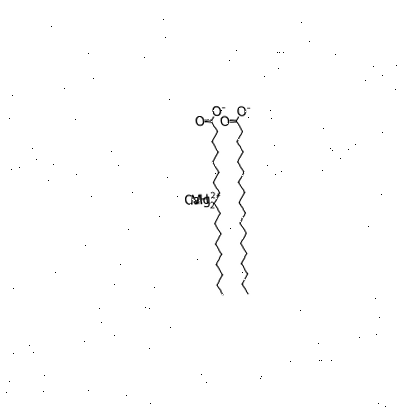 CCCCCCCCCCCCCCCCCC(=O)[O-].CCCCCCCCCCCCCCCCCC(=O)[O-].[CaH2].[Mg+2]